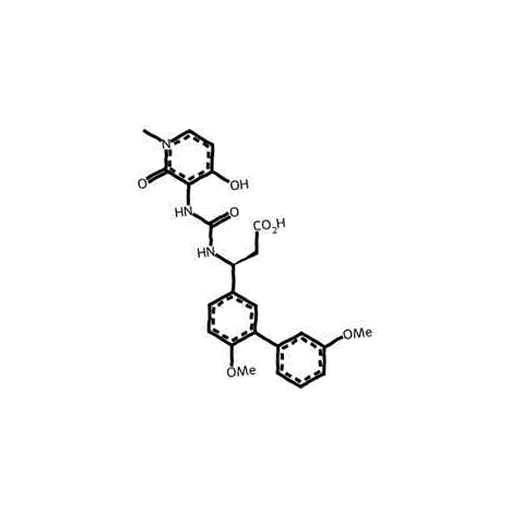 COc1cccc(-c2cc([C@H](CC(=O)O)NC(=O)Nc3c(O)ccn(C)c3=O)ccc2OC)c1